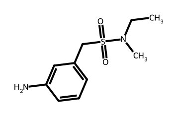 CCN(C)S(=O)(=O)Cc1cccc(N)c1